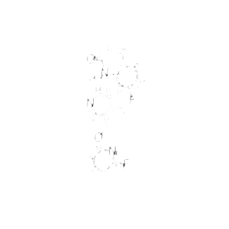 Cc1c(COc2cccc(F)n2)cncc1-c1c(F)ccc2c1N(C)C(=O)CC2